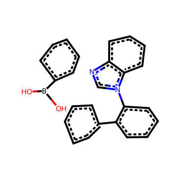 OB(O)c1ccccc1.c1ccc(-c2ccccc2-n2cnc3ccccc32)cc1